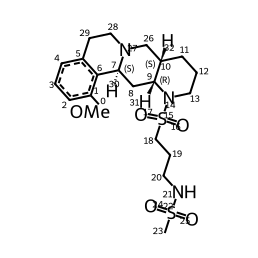 COc1cccc2c1[C@@H]1C[C@@H]3[C@@H](CCCN3S(=O)(=O)CCCNS(C)(=O)=O)CN1CC2